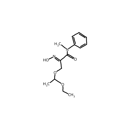 CCOC(C)OCC(=NO)C(=O)N(C)c1ccccc1